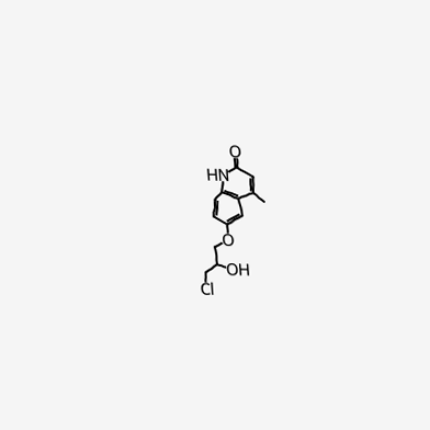 Cc1cc(=O)[nH]c2ccc(OCC(O)CCl)cc12